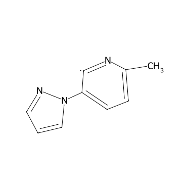 Cc1ccc(-n2cccn2)[c]n1